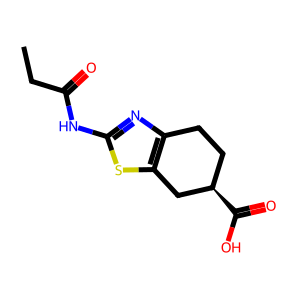 CCC(=O)Nc1nc2c(s1)C[C@H](C(=O)O)CC2